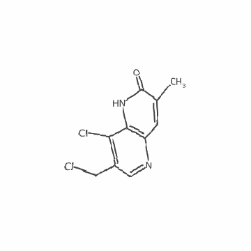 Cc1cc2ncc(CCl)c(Cl)c2[nH]c1=O